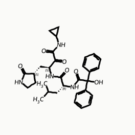 CC(C)C[C@@H](NC(=O)C(O)(c1ccccc1)c1ccccc1)C(=O)N[C@@H](C[C@@H]1CCNC1=O)C(=O)C(=O)NC1CC1